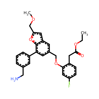 CCOC(=O)Cc1ccc(F)cc1OCc1cc(-c2cccc(CN)c2)c2oc(COC)cc2c1